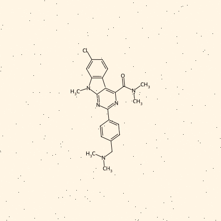 CN(C)Cc1ccc(-c2nc(C(=O)N(C)C)c3c4ccc(Cl)cc4n(C)c3n2)cc1